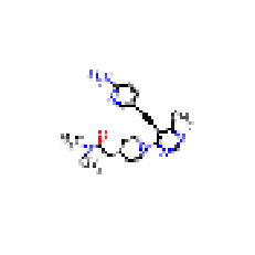 Cc1ncnc(N2CCC(CC(=O)N(C)C)CC2)c1C#Cc1ccc(N)nc1